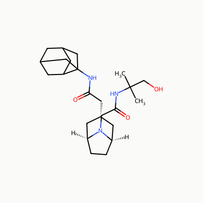 CC(C)(CO)NC(=O)CN1[C@@H]2CC[C@H]1C[C@H](CC(=O)NC13CC4CC(CC1C4)C3)C2